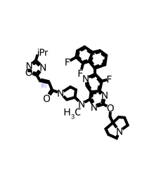 CC(C)c1noc(/C=C/C(=O)N2CCC(N(C)c3nc(OCC45CCCN4CCC5)nc4c(F)c(-c5cccc6ccc(F)c(F)c56)ncc34)C2)n1